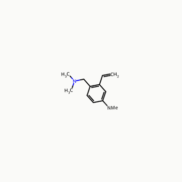 C=Cc1cc(NC)ccc1CN(C)C